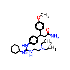 CCN(CC)CCN/C(=N/C1CCCCC1)Nc1ccc(C(CC(N)=O)c2ccc(OC)cc2)cc1